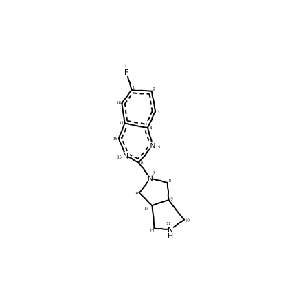 Fc1ccc2nc(N3CC4CNCC4C3)ncc2c1